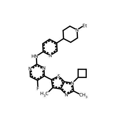 CCN1CCC(c2ccc(Nc3ncc(F)c(-c4sc5c(nc(C)n5C5CCC5)c4C)n3)nc2)CC1